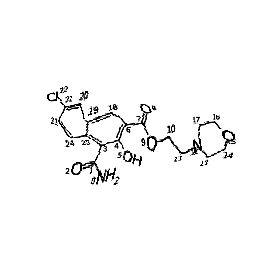 NC(=O)c1c(O)c(C(=O)OCCN2CCOCC2)cc2cc(Cl)ccc12